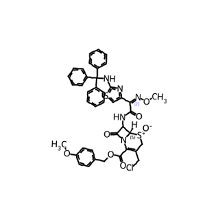 CO/N=C(\C(=O)NC1C(=O)N2C(C(=O)OCc3ccc(OC)cc3)=C(CCl)C[S+]([O-])[C@@H]12)c1csc(NC(c2ccccc2)(c2ccccc2)c2ccccc2)n1